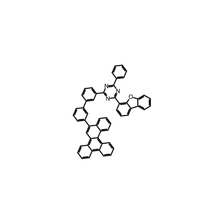 c1ccc(-c2nc(-c3cccc(-c4cccc(-c5cc6c7ccccc7c7ccccc7c6c6ccccc56)c4)c3)nc(-c3cccc4c3oc3ccccc34)n2)cc1